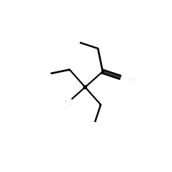 C=C(CC)C(N)(CC)CC.Cl